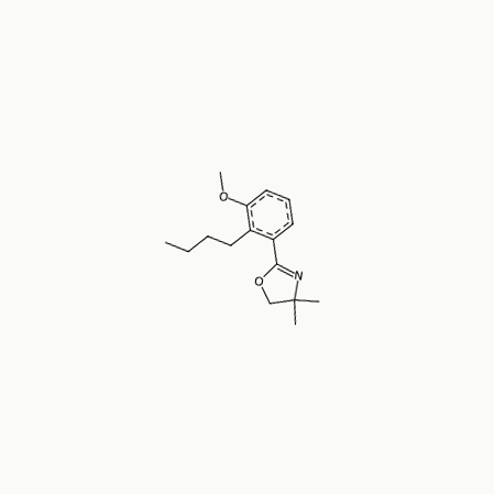 CCCCc1c(OC)cccc1C1=NC(C)(C)CO1